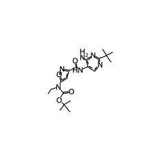 CCN(C(=O)OC(C)(C)C)c1cc(C(=O)Nc2cnc(C(C)(C)C)nc2N)no1